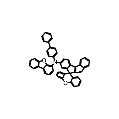 c1ccc(-c2ccc(N(c3ccc4c(c3)C3(c5ccccc5Oc5ccccc53)c3ccc5ccccc5c3-4)c3cccc4c3oc3ccccc34)cc2)cc1